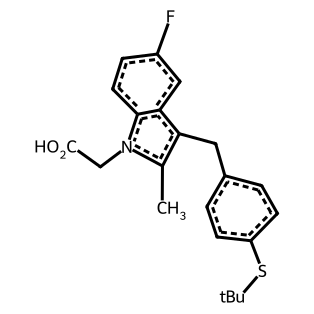 Cc1c(Cc2ccc(SC(C)(C)C)cc2)c2cc(F)ccc2n1CC(=O)O